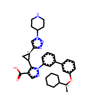 C[C@H](Oc1cccc(-c2cccc(-n3ncc(C(=O)O)c3C3C[C@H]3c3cn(C4CCNCC4)nn3)c2)c1)C1CCCCC1